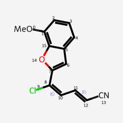 COc1cccc2cc(/C(Cl)=C\C=C\C#N)oc12